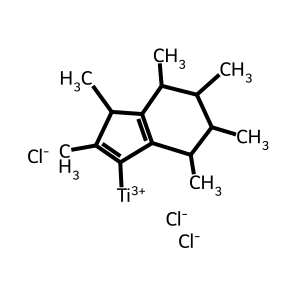 CC1=[C]([Ti+3])C2=C(C1C)C(C)C(C)C(C)C2C.[Cl-].[Cl-].[Cl-]